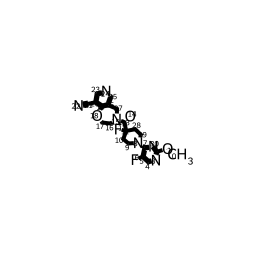 COc1ncc(F)c(N2CCC(F)(C(=O)N3CCOc4c(C#N)cncc4C3)CC2)n1